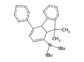 CC1(C)c2ccccc2C2C(c3ccccc3)=CC=C(N(C(C)(C)C)C(C)(C)C)C21